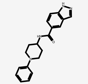 O=C(NC1CCN(c2ccccc2)CC1)c1ccc2[nH]ncc2c1